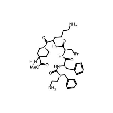 COC(=O)C1(N)CCN(C(=O)[C@@H](CCCCN)NC(=O)[C@@H](CC(C)C)NC(=O)[C@@H](Cc2ccccc2)NC(=O)N(CCN)Cc2ccccc2)CC1